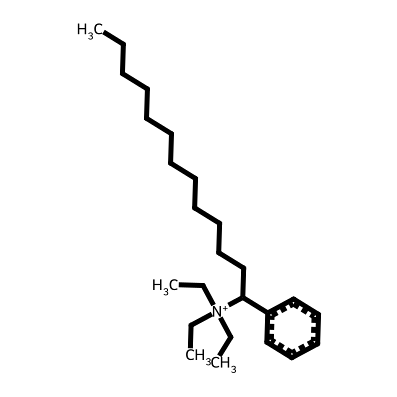 CCCCCCCCCCCCC(c1ccccc1)[N+](CC)(CC)CC